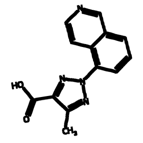 Cc1nn(-c2cccc3cnccc23)nc1C(=O)O